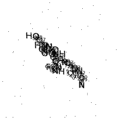 CC(C)c1ccccc1[C@@H]1CN(Cc2ccc(C#N)cc2)CCN1C1CC2(CCN(c3ccc(C(=O)NS(=O)(=O)c4cnc(NCC5CCC(C)(O)CC5)c([N+](=O)[O-])c4)c(Oc4cnc5[nH]cc(F)c5c4)c3)CC2)C1